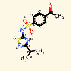 CC(=O)c1ccc(S(=O)(=O)Nc2nc(C(C)C)ns2)cc1